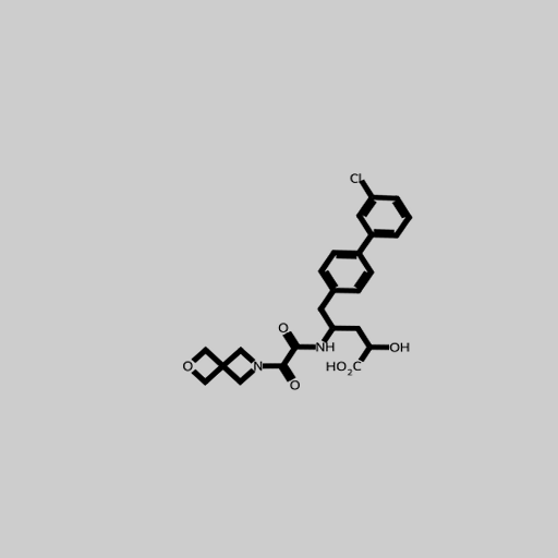 O=C(NC(Cc1ccc(-c2cccc(Cl)c2)cc1)CC(O)C(=O)O)C(=O)N1CC2(COC2)C1